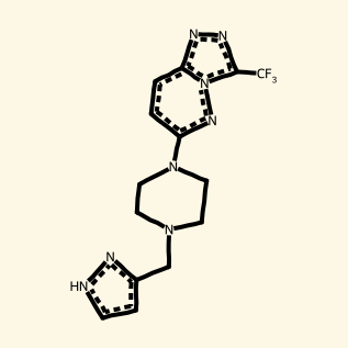 FC(F)(F)c1nnc2ccc(N3CCN(Cc4cc[nH]n4)CC3)nn12